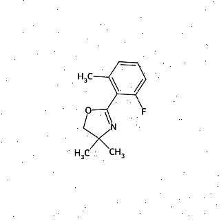 Cc1cccc(F)c1C1=NC(C)(C)CO1